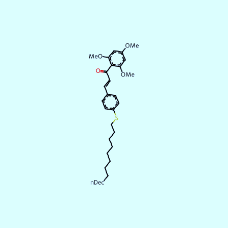 CCCCCCCCCCCCCCCCCCSc1ccc(C=CC(=O)c2c(OC)cc(OC)cc2OC)cc1